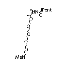 CCCC(C)C(=O)NCC(F)C(C)OCCOCCOCCOCCOCCNC